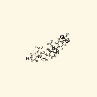 CC(C)C[C@@H]1CC(c2ccc3nc(-c4ccc(S(C)(=O)=O)cc4)n(C4CC4)c3c2F)CCN1C1CCNCC1